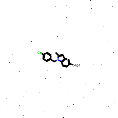 CSc1ccc2c(c1)cc(C)n2Cc1ccc(Cl)cc1